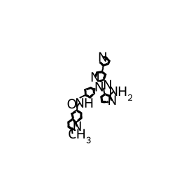 Cc1ccc2cc(C(=O)NCc3ccc(-n4c(-c5cccnc5N)nc5cc(-c6cccnc6)cnc54)cc3)ccc2n1